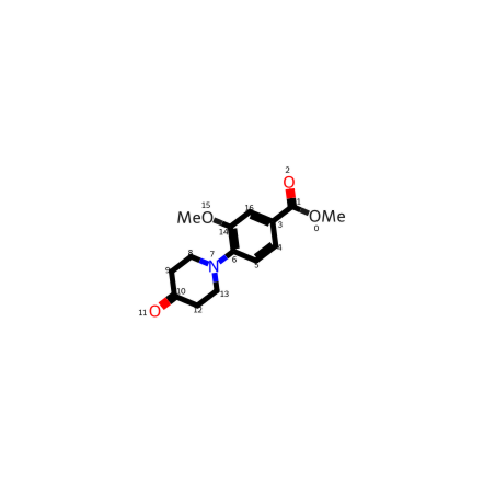 COC(=O)c1ccc(N2CCC(=O)CC2)c(OC)c1